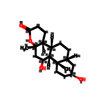 C[C@]12CC[C@@H](O)C[C@H]1CC[C@@H]1[C@@H]2[C@@H](O)C[C@]2(C)OC(=O)CC[C@@H]12